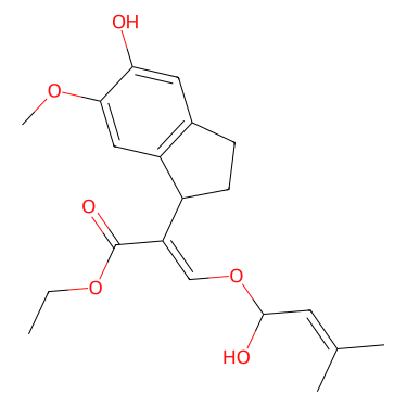 CCOC(=O)/C(=C/OC(O)C=C(C)C)C1CCc2cc(O)c(OC)cc21